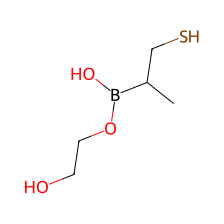 CC(CS)B(O)OCCO